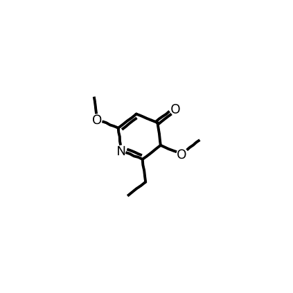 CCC1=NC(OC)=CC(=O)C1OC